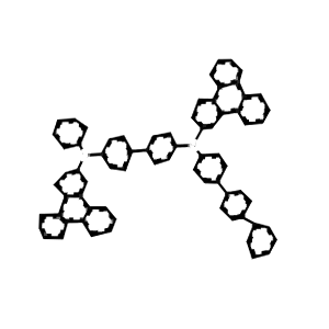 c1ccc(-c2ccc(-c3ccc(N(c4ccc(-c5ccc(N(c6ccccc6)c6ccc7c8ccccc8c8ccccc8c7c6)cc5)cc4)c4ccc5c6ccccc6c6ccccc6c5c4)cc3)cc2)cc1